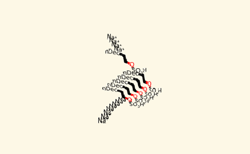 CCCCCCCCCCCCOS(=O)(=O)O.CCCCCCCCCCCCOS(=O)(=O)O.CCCCCCCCCCCCOS(=O)(=O)O.CCCCCCCCCCCCOS(=O)(=O)O.CCCCCCCCCCCCOS(=O)(=O)O.CCCCCCCCCCCCOS(=O)(=O)O.[Na+].[Na+].[Na+].[Na+].[Na+].[Na+].[Na+].[Na+].[Na+].[Na+].[Na+].[Na+]